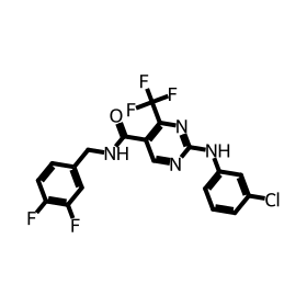 O=C(NCc1ccc(F)c(F)c1)c1cnc(Nc2cccc(Cl)c2)nc1C(F)(F)F